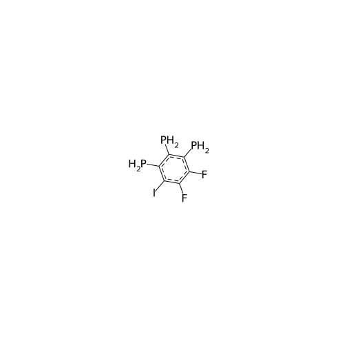 Fc1c(F)c(I)c(P)c(P)c1P